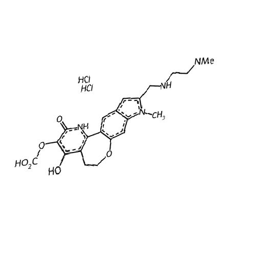 CNCCNCc1cc2cc3c(cc2n1C)OCCc1c-3[nH]c(=O)c(OC(=O)O)c1O.Cl.Cl